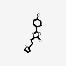 O=C1OC(c2ccc(Cl)cc2)=N/C1=C/Cc1cccs1